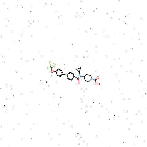 O=C(O)N1CCC(N(C(=O)c2ccc(-c3ccc(OC(F)(F)F)cc3)cc2)C2CC2)CC1